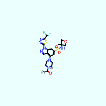 CC(C)C(=O)N1CCN(c2cc(S(=O)(=O)NC3(C)COC3)cc3c2cnn3-c2nnc(C(F)F)s2)C[C@@H]1C